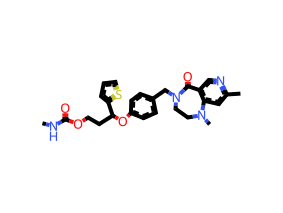 CNC(=O)OCCC(Oc1ccc(CN2CCN(C)c3cc(C)ncc3C2=O)cc1)c1cccs1